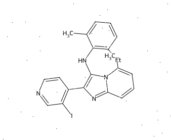 CCc1cccc2nc(-c3ccncc3I)c(Nc3c(C)cccc3C)n12